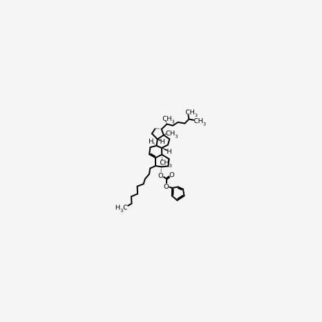 CCCCCCCCCC1C2=CC[C@H]3[C@@H]4CC[C@H]([C@H](C)CCCC(C)C)[C@@]4(C)CC[C@@H]3[C@@]2(C)CC[C@@H]1OC(=O)Oc1ccccc1